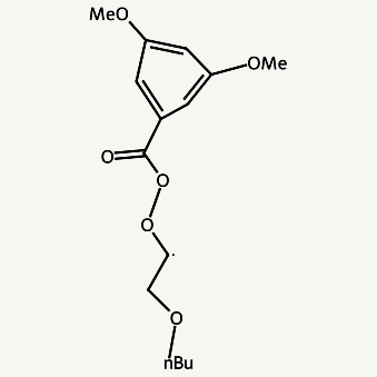 CCCCOC[CH]OOC(=O)c1cc(OC)cc(OC)c1